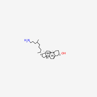 CC(CCCN)CCCC(C)[C@H]1CC[C@H]2[C@@H]3CC=C4C[C@@H](O)CC[C@]4(C)[C@H]3CC[C@]12C